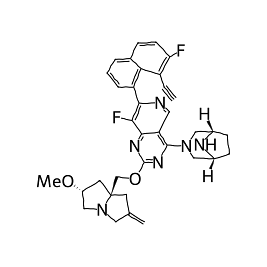 C#Cc1c(F)ccc2cccc(-c3ncc4c(N5C[C@H]6CC[C@@H](C5)N6)nc(OC[C@@]56CC(=C)CN5C[C@H](OC)C6)nc4c3F)c12